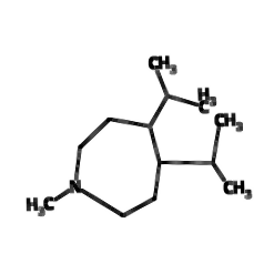 CC(C)C1CCN(C)CCC1C(C)C